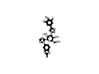 Cc1nc2ccc(-n3ncnc3[C@@H]3O[C@H](CO)[C@H](O)[C@H](n4cc(-c5cc(F)c(Br)c(F)c5)nn4)[C@H]3O)cc2s1